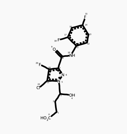 O=C(O)CCC(O)n1nc(C(=O)Nc2ccc(F)cc2F)c(F)c1Cl